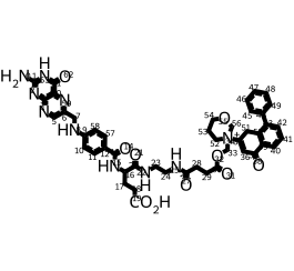 Nc1nc2ncc(CNc3ccc(C(=O)NC(CCC(=O)O)C(=O)NCCNC(=O)CCC(=O)OC[N+]4(C5=CC(=O)c6cccc(-c7ccccc7)c6C5)CCCOC4)cc3)nc2c(=O)[nH]1